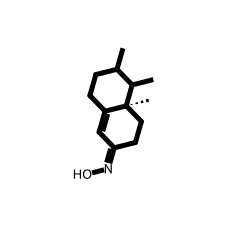 CC1CCC2=CC(=NO)CC[C@]2(C)C1C